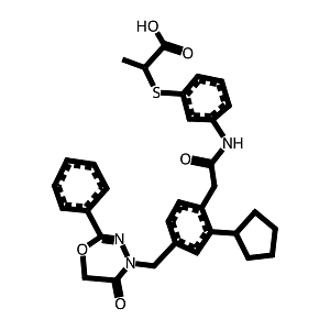 CC(Sc1cccc(NC(=O)Cc2ccc(CN3N=C(c4ccccc4)OCC3=O)cc2C2CCCC2)c1)C(=O)O